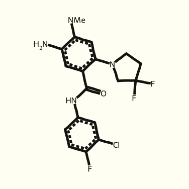 CNc1cc(N2CCC(F)(F)C2)c(C(=O)Nc2ccc(F)c(Cl)c2)cc1N